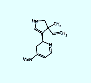 C=CC1(C)CNC=C1[C@@H]1CC(NC)=CC=N1